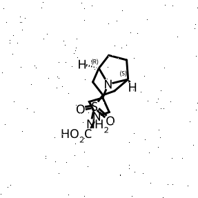 NS(=O)(=O)C1C[C@H]2CC[C@@H](C1)N2C1CN(C(=O)O)C1